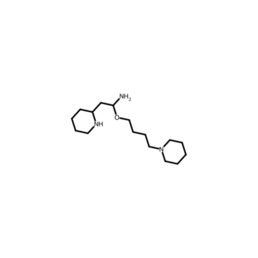 NC(CC1CCCCN1)OCCCCN1CCCCC1